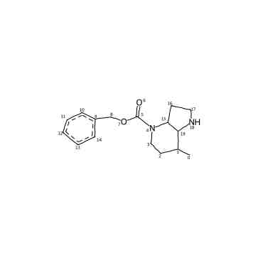 CC1CCN(C(=O)OCc2ccccc2)C2CCNC12